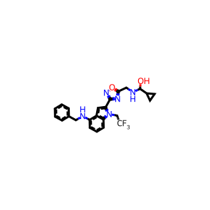 OC(NCc1nc(-c2cc3c(NCc4ccccc4)cccc3n2CC(F)(F)F)no1)C1CC1